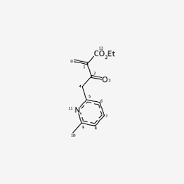 C=C(C(=O)Cc1cccc(C)n1)C(=O)OCC